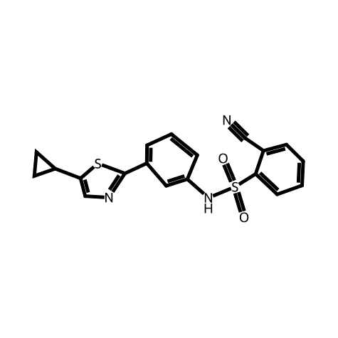 N#Cc1ccccc1S(=O)(=O)Nc1cccc(-c2ncc(C3CC3)s2)c1